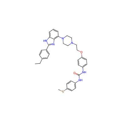 CCc1ccc(-c2nc3c(N4CCN(CCOc5ccc(NC(=O)Nc6ccc(SC)cc6)cc5)CC4)cccc3[nH]2)cc1